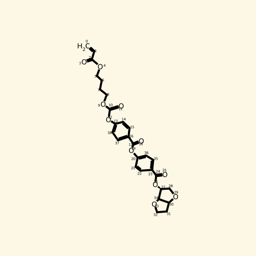 C=CC(=O)OCCCCOC(=O)Oc1ccc(C(=O)Oc2ccc(C(=O)O[C@H]3COC4CCOC43)cc2)cc1